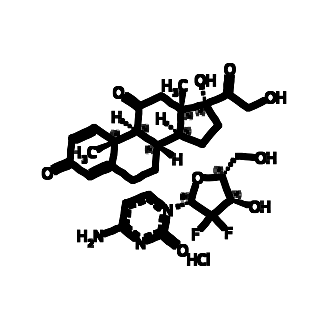 C[C@]12C=CC(=O)C=C1CC[C@@H]1[C@@H]2C(=O)C[C@@]2(C)[C@H]1CC[C@]2(O)C(=O)CO.Cl.Nc1ccn([C@@H]2O[C@H](CO)[C@@H](O)C2(F)F)c(=O)n1